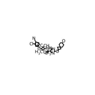 CC1(C)C(NC(=O)c2cnc(OC3CC4(CCC(=O)CC4)C3)nc2)C(C)(C)C1Oc1ccc(C#N)c(Cl)c1